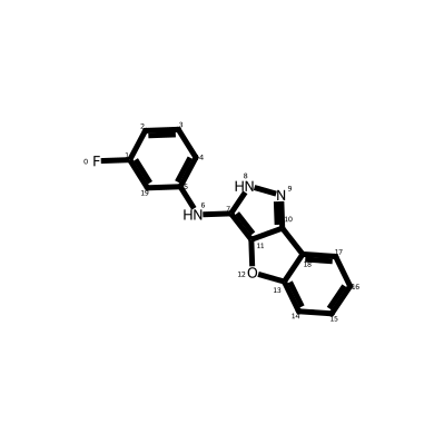 Fc1cccc(Nc2[nH]nc3c2oc2ccccc23)c1